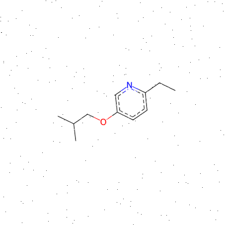 CCc1ccc(OCC(C)C)cn1